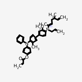 C=CCN(/C(C)=C/CC(C)C=C)c1ccc(-c2ccc(N(c3ccccc3)c3ccc(OC(=O)C=C)cc3)c(C)c2)cc1C